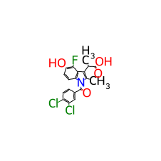 Cc1c(C(C)C(=O)O)c2c(F)c(O)ccc2n1C(=O)c1ccc(Cl)c(Cl)c1